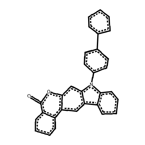 O=c1oc2cc3c(cc2c2ccccc12)c1ccccc1n3-c1ccc(-c2ccccc2)cc1